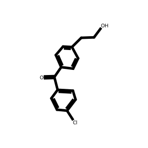 O=C(c1ccc(Cl)cc1)c1ccc(CCO)cc1